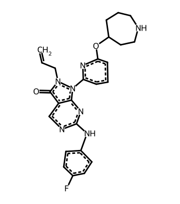 C=CCn1c(=O)c2cnc(Nc3ccc(F)cc3)nc2n1-c1cccc(OC2CCCNCC2)n1